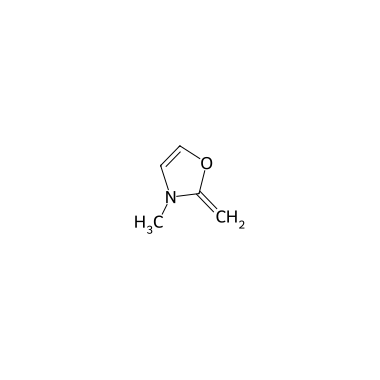 C=C1OC=CN1C